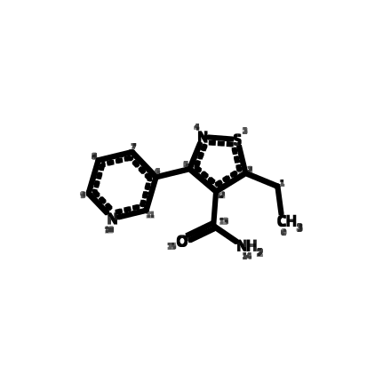 CCc1snc(-c2cccnc2)c1C(N)=O